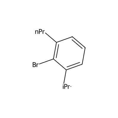 CCCc1cccc([C](C)C)c1Br